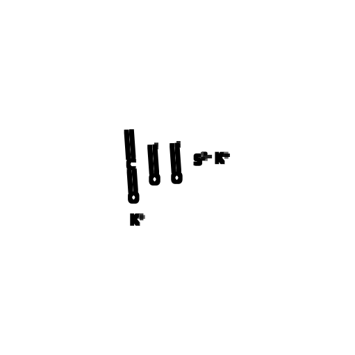 C=C=O.[C]=O.[C]=O.[K+].[K+].[S-2]